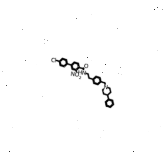 O=C(NCCc1ccc(CN2CCC(c3ccccc3)CC2)cc1)c1ccc(-c2ccc(Cl)cc2)cc1[N+](=O)[O-]